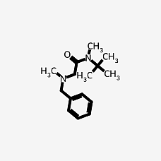 CN(CC(=O)N(C)C(C)(C)C)Cc1ccccc1